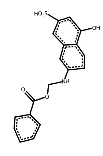 O=C(OCNc1ccc2c(O)cc(S(=O)(=O)O)cc2c1)c1ccccc1